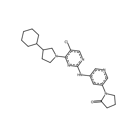 O=C1CCCN1c1cncc(Nc2ncc(Cl)c(N3CCC(C4CCCCC4)C3)n2)c1